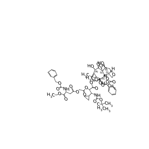 CCOC(=O)C(CC(=O)OCC(=O)OC(C(=O)O[C@H]1C[C@@]2(O)[C@@H](OC(=O)c3ccccc3)[C@@H]3[C@]4(OC(C)=O)CO[C@@H]4C[C@H](O)[C@@]3(C)C(=O)[C@H](O)C(=C1C)C2(C)C)C(NC(=O)OC(C)(C)C)C1CC1)NC(=O)OCc1ccccc1